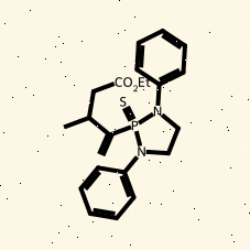 C=C(C(C)CC(=O)OCC)P1(=S)N(c2ccccc2)CCN1c1ccccc1